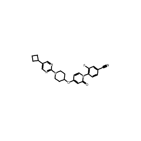 N#Cc1ccc(-n2ccc(OC3CCN(c4ncc(C5CCC5)cn4)CC3)cc2=O)c(F)c1